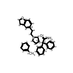 Cc1ccccc1.NC(=O)C(c1ccccc1)(c1ccccc1)[C@@H]1CCN(CCc2ccc3c(c2)CCO3)C1